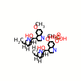 C=C[C@H]1CN2CC[C@H]1C[C@@H]2[C@@H](O)c1ccnc2ccc(OC)cc12.C=C[C@H]1CN2CC[C@H]1C[C@H]2[C@H](O)c1ccnc2ccc(OC)cc12.O=S(=O)(O)O